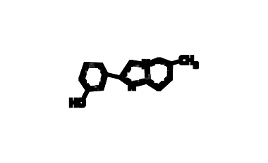 Cc1ccc2nc(-c3cccc(O)c3)cn2c1